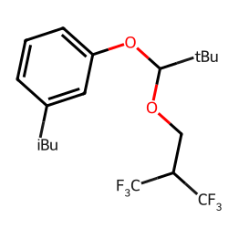 CCC(C)c1cccc(OC(OCC(C(F)(F)F)C(F)(F)F)C(C)(C)C)c1